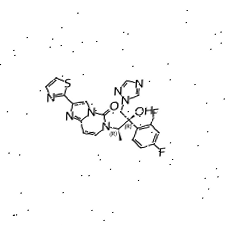 C[C@@H](n1ccc2nc(-c3nccs3)cn2c1=O)[C@](O)(Cn1cncn1)c1ccc(F)cc1F